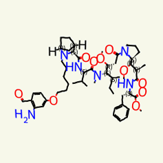 CC[C@H](C)[C@@H]([C@@H](CC(=O)N1CCC[C@H]1[C@H](OC)[C@@H](C)C(=O)N[C@@H](Cc1ccccc1)C(=O)OC)OC)N(C)C(=O)[C@@H](NC(=O)[C@@H]1[C@H]2CC[C@H](C2)N1CCCCCCOc1ccc(C=O)c(N)c1)C(C)C